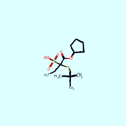 CCC(SC(C)(C)C)(C(=O)OC1CCCC1)S(=O)(=O)O